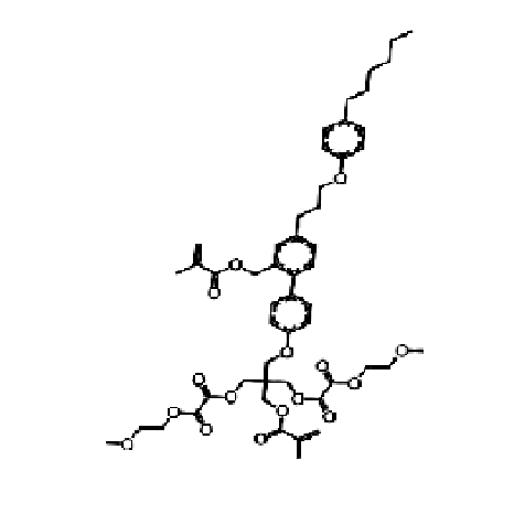 C=C(C)C(=O)OCc1cc(CCCOc2ccc(CCCCCC)cc2)ccc1-c1ccc(OCC(COC(=O)C(=C)C)(COC(=O)C(=O)OCCOC)COC(=O)C(=O)OCCOC)cc1